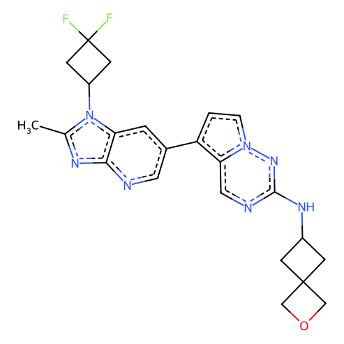 Cc1nc2ncc(-c3ccn4nc(NC5CC6(COC6)C5)ncc34)cc2n1C1CC(F)(F)C1